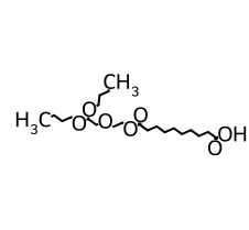 CCCCOC(COCCOC(=O)CCCCCCCCC(=O)O)OCCCC